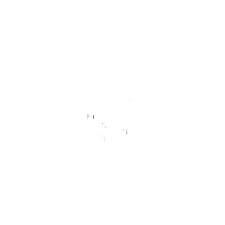 CCN(CC)/C(=N/C)c1ccccc1